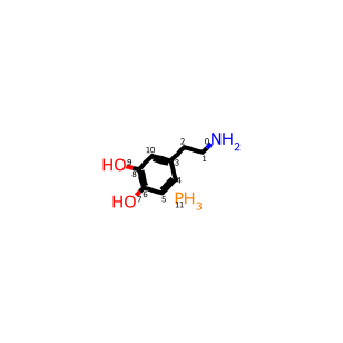 NCCc1ccc(O)c(O)c1.P